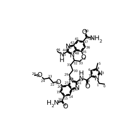 CCn1nc(C)cc1C(=O)Nc1nc2cc(C(N)=O)cc(OCCCOC)c2n1CCCC1COc2cc(C(N)=O)cc3nc(NC)n1c23